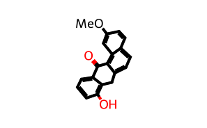 COc1ccc2ccc3c(c2c1)C(=O)c1cccc(O)c1C3